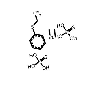 CC.CCC.FC(F)(F)CSc1ccccc1.OP(O)(O)=S.OP(O)(O)=S